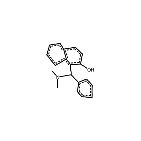 CN(C)C(c1ccccc1)c1c(O)ccc2ccccc12